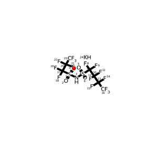 O=S(=O)(NS(=O)(=O)C(F)(F)C(F)(F)C(F)(F)C(F)(F)F)C(F)(F)C(F)(F)C(F)(F)F.[KH]